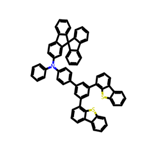 c1ccc(N(c2ccc(-c3cc(-c4cccc5c4sc4ccccc45)cc(-c4cccc5c4sc4ccccc45)c3)cc2)c2ccc3c(c2)C2(c4ccccc4-c4ccccc42)c2ccccc2-3)cc1